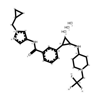 Cl.Cl.Cl.O=C(Nc1cnn(CC2CC2)c1)c1cccc(C2CC2NC2CCN(CC(F)(F)F)CC2)c1